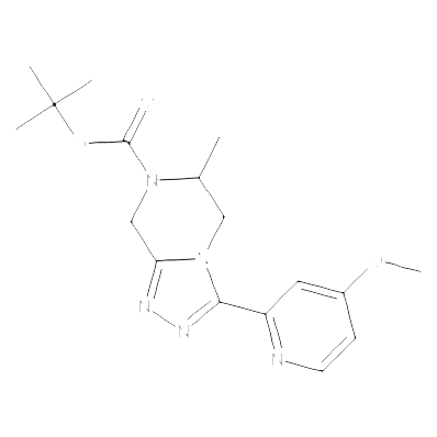 COc1ccnc(-c2nnc3n2CC(C)N(C(=O)OC(C)(C)C)C3)c1